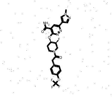 Cn1cc(-c2cc(C(N)=O)c(O[C@@H]3CCN(C(=O)Cc4ccc(OC(F)(F)F)cc4)C[C@@H]3F)nn2)cn1